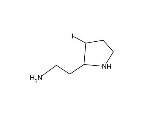 NCCC1NCCC1I